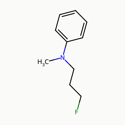 CN(CCCF)c1ccccc1